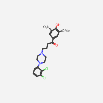 COc1cc(C(=O)CCCN2CCN(c3cccc(Cl)c3Cl)CC2)cc([N+](=O)[O-])c1O